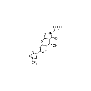 Cn1nc(C(F)(F)F)cc1-c1ccc2c(O)c(C(=O)NCC(=O)O)c(=O)sc2c1